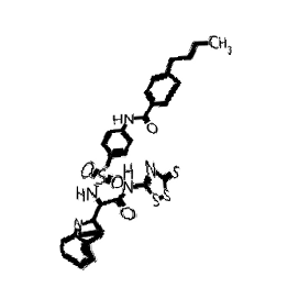 CCCCc1ccc(C(=O)Nc2ccc(S(=O)(=O)NC(C(=O)Nc3nc(=S)ss3)C3C4=CN3c3ccccc34)cc2)cc1